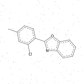 Cc1ccc(-c2nc3ccccc3o2)c(Cl)c1